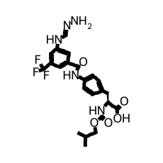 CC(C)COC(=O)N[C@@H](Cc1ccc(NC(=O)c2cc(NC=NN)cc(C(F)(F)F)c2)cc1)C(=O)O